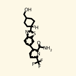 [2H]C1(c2nc3ccc(-c4ccc(C(F)(F)F)nc4C(N)=O)cc3s2)CCC(CO)CC1